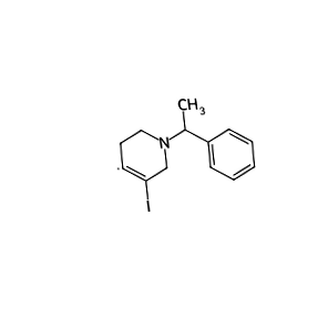 CC(c1ccccc1)N1CC[C]=C(I)C1